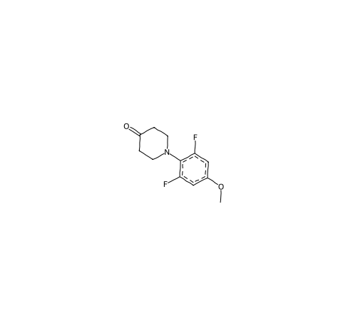 COc1cc(F)c(N2CCC(=O)CC2)c(F)c1